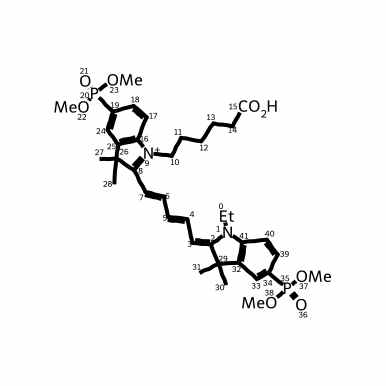 CCN1\C(=C/C=C/C=C/C2=[N+](CCCCCC(=O)O)c3ccc(P(=O)(OC)OC)cc3C2(C)C)C(C)(C)c2cc(P(=O)(OC)OC)ccc21